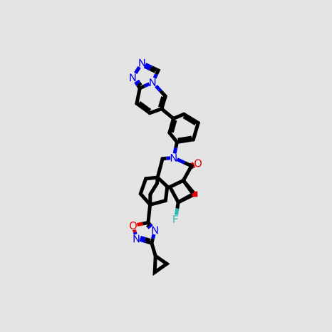 O=C(N(CC12CCC(c3nc(C4CC4)no3)(CC1)CC2)c1cccc(-c2ccc3nncn3c2)c1)C12CC(F)(C1)C2